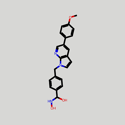 COc1ccc(-c2cnc3c(ccn3Cc3ccc(C(O)NO)cc3)c2)cc1